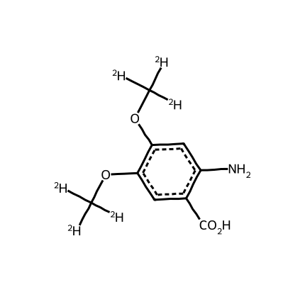 [2H]C([2H])([2H])Oc1cc(N)c(C(=O)O)cc1OC([2H])([2H])[2H]